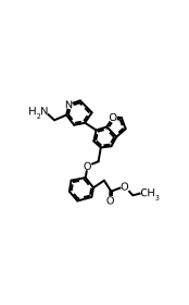 CCOC(=O)Cc1ccccc1OCc1cc(-c2ccnc(CN)c2)c2occc2c1